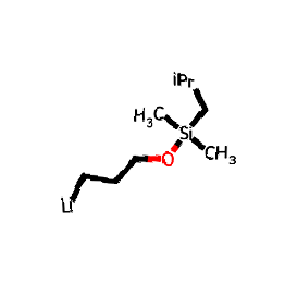 [Li][CH2]CCO[Si](C)(C)CC(C)C